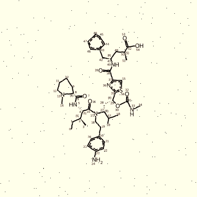 CC[C@H](C)[C@H](NC(=O)[C@H]1CCCCN1C)C(=O)N(CCc1ccc(N)cc1)[C@H](C[C@@H](OC(=O)NC)c1nc(C(=O)N[C@@H](Cc2ccccc2)C[C@H](C)C(=O)O)cs1)C(C)C